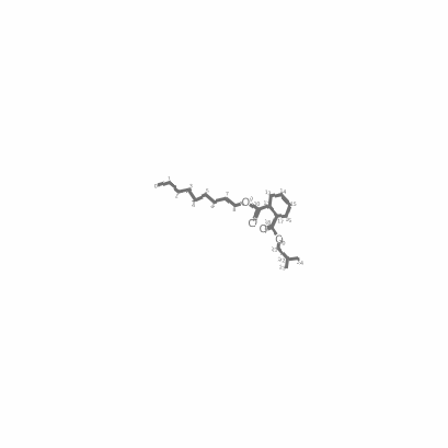 CCCCCCCCCOC(=O)C1CC=CCC1C(=O)OCC(C)C